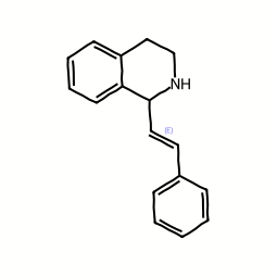 C(=C\C1NCCc2ccccc21)/c1ccccc1